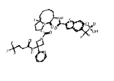 O=C(CCC(F)(F)F)NC1(c2ccccn2)CN(C(=O)[C@@H]2CC[C@@H]3CCCCC(NC(=O)c4cc5cc(C(F)(F)P(=O)(O)O)ccc5s4)C(=O)N32)C1